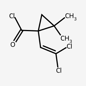 CC1(C)CC1(C=C(Cl)Cl)C(=O)Cl